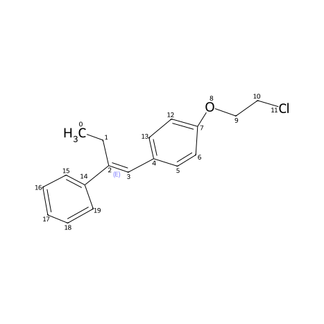 CC/C(=C\c1ccc(OCCCl)cc1)c1ccccc1